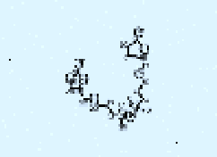 C[Si](C)(CCCOCC1CCC(=O)O1)O[Si](C)(C)CCCOCC1COC(=O)O1